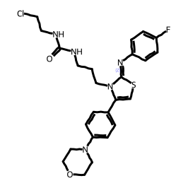 O=C(NCCCl)NCCCn1c(-c2ccc(N3CCOCC3)cc2)cs/c1=N\c1ccc(F)cc1